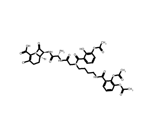 CC(=O)Oc1cccc(C(=O)N(CCCCNC(=O)c2cccc(OC(C)=O)c2OC(C)=O)CC(=O)N[C@@H](P)C(=O)N[C@@H]2C(=O)N3C(C(=O)O)=C(Cl)CC[C@H]23)c1O